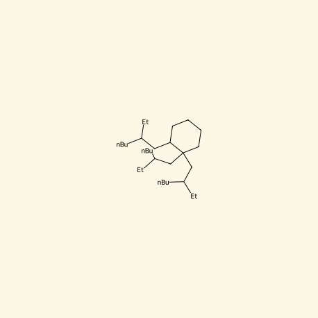 CCCCC(CC)CC1CCCCC1(CC(CC)CCCC)CC(CC)CCCC